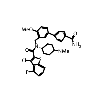 CN[C@H]1CC[C@H](N(Cc2cc(-c3ccc(C(N)=O)cc3)ccc2OC)C(=O)c2sc3cccc(F)c3c2Cl)CC1